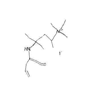 C=CC(=O)NC(C)(C)CC(C)[N+](C)(C)C.[I-]